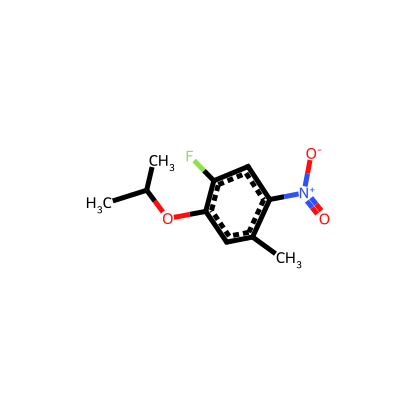 Cc1cc(OC(C)C)c(F)cc1[N+](=O)[O-]